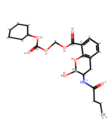 O=C(CCC(F)(F)F)NC1Cc2cccc(C(=O)OCOC(=O)OC3CCCCC3)c2OB1O